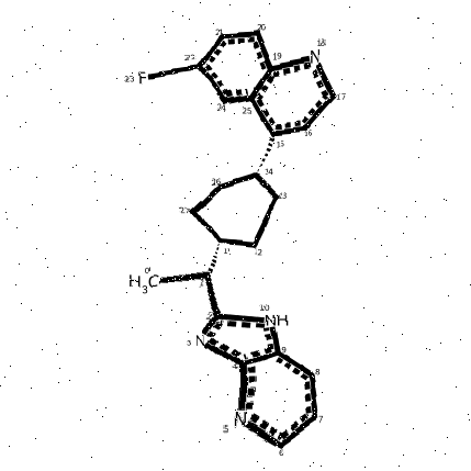 CC(c1nc2ncccc2[nH]1)[C@H]1CC[C@@H](c2ccnc3ccc(F)cc32)CC1